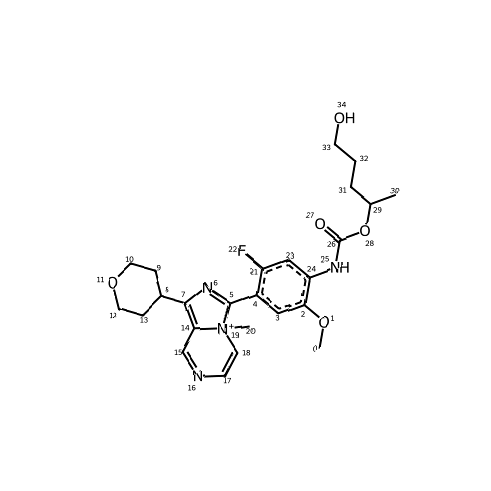 COc1cc(C2=NC(C3CCOCC3)=C3C=NC=C[N+]23C)c(F)cc1NC(=O)OC(C)CCCO